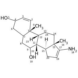 C[C@]12C=CC(O)CC1CC(O)[C@@H]1[C@H]2CC[C@]2(C)C(N)=CC[C@@H]12